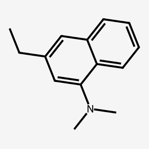 CCc1cc(N(C)C)c2ccccc2c1